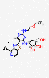 Cc1nc(NCCOCC(F)(F)F)nc(N[C@@H]2C[C@H](CO)[C@@H](O)[C@H]2O)c1-c1nc2c(C3CC3)nccc2s1